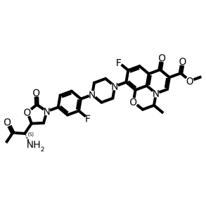 COC(=O)c1cn2c3c(c(N4CCN(c5ccc(N6CC([C@H](N)C(C)=O)OC6=O)cc5F)CC4)c(F)cc3c1=O)OCC2C